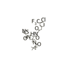 CC1(C)C[C@@H]1C(=O)N1CC2(CN(C(=O)c3cncs3)CC2C(=O)NCC(=O)Cc2ccc(Cl)c(C(F)(F)F)c2)C1